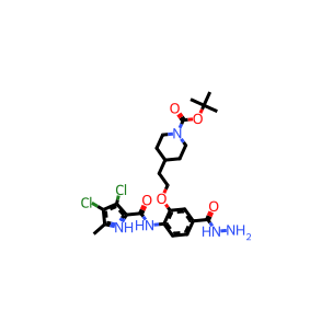 Cc1[nH]c(C(=O)Nc2ccc(C(=O)NN)cc2OCCC2CCN(C(=O)OC(C)(C)C)CC2)c(Cl)c1Cl